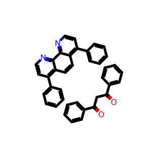 O=C(CC(=O)c1ccccc1)c1ccccc1.c1ccc(-c2ccnc3c2ccc2c(-c4ccccc4)ccnc23)cc1